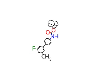 Cc1cc(F)cc(-c2ccc(NC(=O)OC34CC5CC(CC(C5)C3)C4)cc2)c1